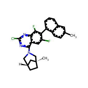 Cc1ccc2c(-c3c(F)cc4c(N5C[C@H]6CC[C@@](C)(C6)C5)nc(Cl)nc4c3F)cccc2c1